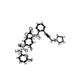 C[C@H](c1ccccc1C#CCN1CCCC1)n1c(=O)oc2cc(S(=O)(=O)Nc3cccc(F)n3)c(F)cc21